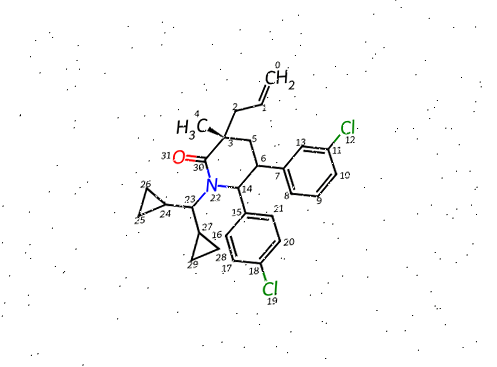 C=CC[C@]1(C)CC(c2cccc(Cl)c2)C(c2ccc(Cl)cc2)N(C(C2CC2)C2CC2)C1=O